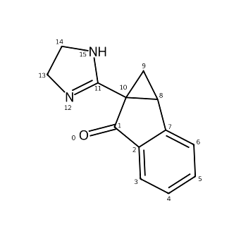 O=C1c2ccccc2C2CC12C1=NCCN1